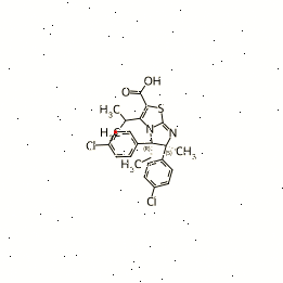 CC[C@]1(c2ccc(Cl)cc2)N2C(=N[C@@]1(C)c1ccc(Cl)cc1)SC(C(=O)O)=C2C(C)C